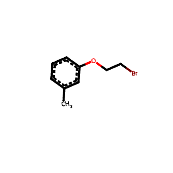 Cc1cccc(OCCBr)c1